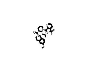 CCC[C@@H]1[C@H](C(=O)N2CCc3cc(SC)ccc3C2)CCCN1C(=O)c1ncccc1C(F)(F)F